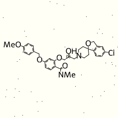 CNC(=O)c1ccc(OCc2ccc(OC)cc2)cc1OC[C@@H](O)CN1CCC2(CC1)OCc1cc(Cl)ccc12